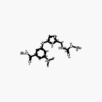 CC(C)COC(=O)c1cc(Sc2cnc(CNC(=O)OC(C)(C)C)s2)cc(N(C)C)c1